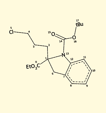 CCOC(=O)C1(CCCCl)Cc2ccccc2N1C(=O)OC(C)(C)C